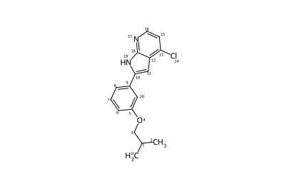 CC(C)COc1cccc(-c2cc3c(Cl)ccnc3[nH]2)c1